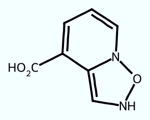 O=C(O)C1=CC=CN2ONC=C12